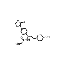 CC(C)(C)OC(=O)N[C@H](CCN1CCC(O)CC1)c1ccc(N2CCOC2=O)cc1